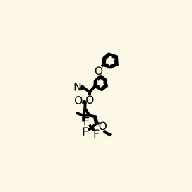 CCO/C(=C/C1C(C(=O)OC(C#N)c2cccc(Oc3ccccc3)c2)C1(C)C)C(F)(F)F